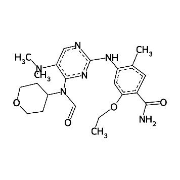 CCOc1cc(Nc2ncc(N(C)C)c(N(C=O)C3CCOCC3)n2)c(C)cc1C(N)=O